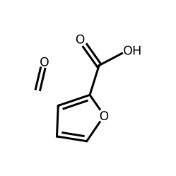 C=O.O=C(O)c1ccco1